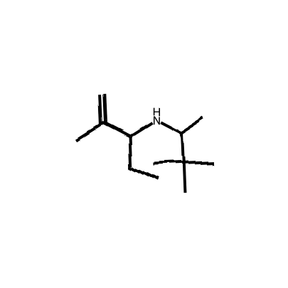 C=C(C)C(CC)NC(C)C(C)(C)C